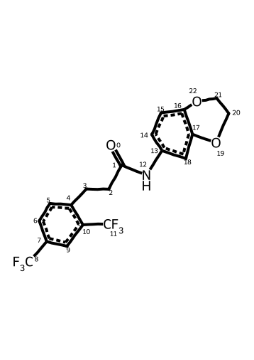 O=C(CCc1ccc(C(F)(F)F)cc1C(F)(F)F)Nc1ccc2c(c1)OCCO2